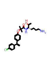 C=C(c1ccc(Cl)cc1)c1ccc(OC(C)(C)C(=O)N[C@@H](CCCCN)C(=C)O)cc1